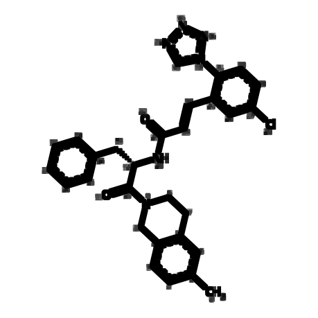 Cc1ccc2c(c1)CCN(C(=O)[C@H](Cc1ccccc1)NC(=O)/C=C/c1cc(Cl)ccc1-n1cnnn1)C2